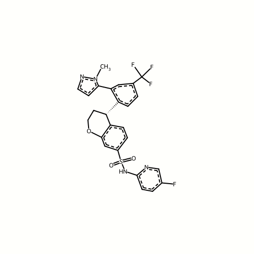 Cn1nccc1-c1cc(C(F)(F)F)ccc1[C@H]1CCOc2cc(S(=O)(=O)Nc3ccc(F)cn3)ccc21